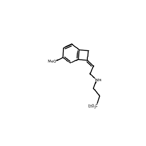 CCOC(=O)CCNCC=C1Cc2ccc(OC)cc21